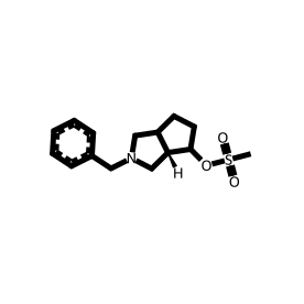 CS(=O)(=O)OC1CCC2CN(Cc3ccccc3)C[C@H]21